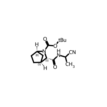 CC(C#N)NC(=O)[C@@H]1[C@H]2CC[C@H](C2)N1C(=O)OC(C)(C)C